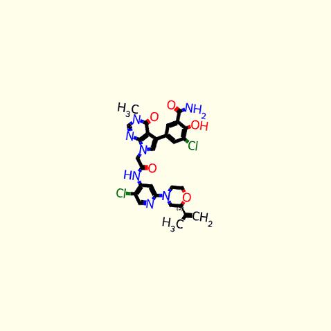 C=C(C)[C@H]1CN(c2cc(NC(=O)Cn3cc(-c4cc(Cl)c(O)c(C(N)=O)c4)c4c(=O)n(C)cnc43)c(Cl)cn2)CCO1